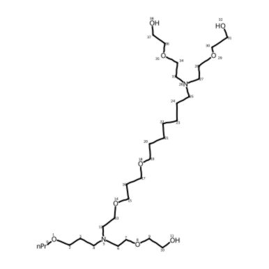 CCCOCCCN(CCOCCO)CCOCCCOCCCCCCCN(CCOCCO)CCOCCO